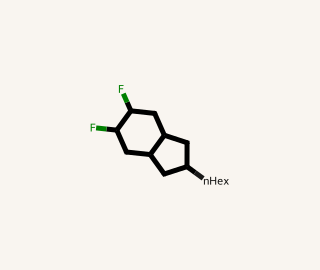 CCCCCCC1CC2CC(F)C(F)CC2C1